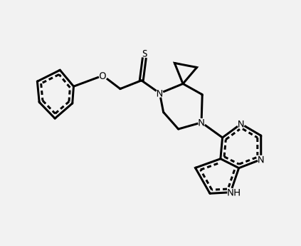 S=C(COc1ccccc1)N1CCN(c2ncnc3[nH]ccc23)CC12CC2